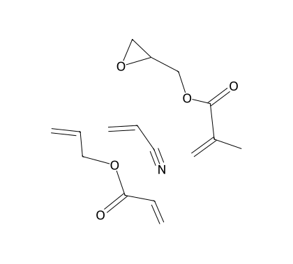 C=C(C)C(=O)OCC1CO1.C=CC#N.C=CCOC(=O)C=C